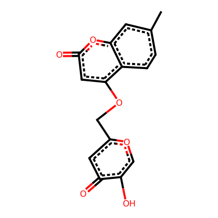 Cc1ccc2c(OCc3cc(=O)c(O)co3)cc(=O)oc2c1